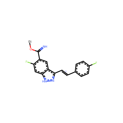 CCOC(=N)c1cc2c(/C=C/c3ccc(F)cc3)n[nH]c2cc1F